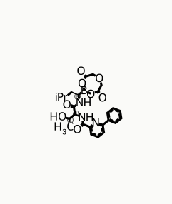 CC(C)C[C@H](NC(=O)[C@@H](NC(=O)c1cccc(-c2ccccc2)n1)[C@@H](C)O)B1OC(=O)COCC(=O)O1